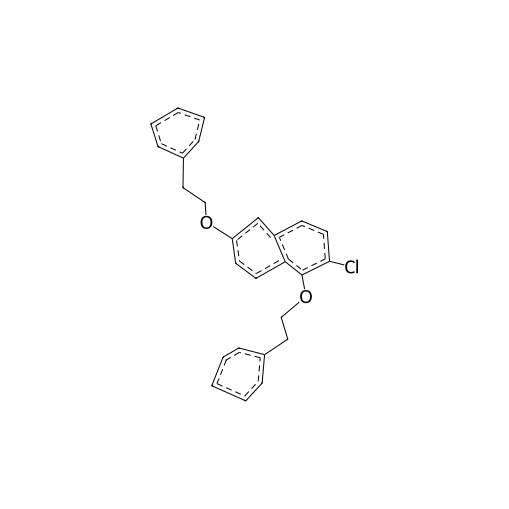 Clc1ccc2cc(OCCc3ccccc3)ccc2c1OCCc1ccccc1